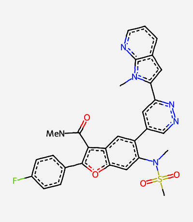 CNC(=O)c1c(-c2ccc(F)cc2)oc2cc(N(C)S(C)(=O)=O)c(-c3cnnc(-c4cc5cccnc5n4C)c3)cc12